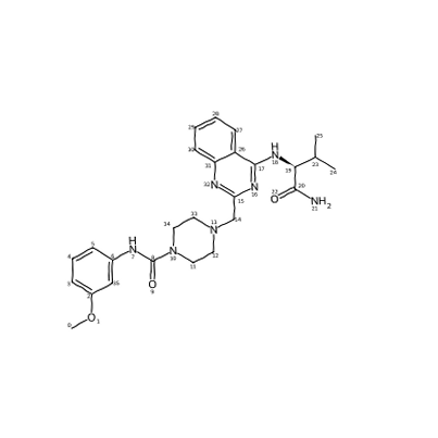 COc1cccc(NC(=O)N2CCN(Cc3nc(N[C@H](C(N)=O)C(C)C)c4ccccc4n3)CC2)c1